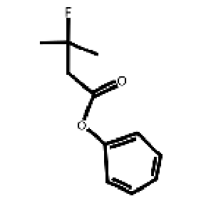 CC(C)(F)CC(=O)Oc1ccccc1